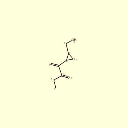 C=C(C(=O)OC)C1OC1CO